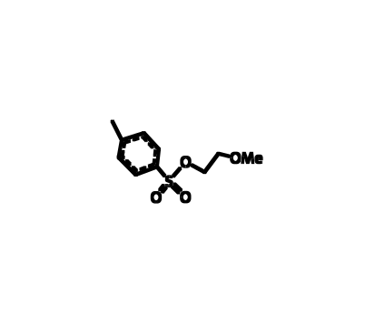 [CH2]OCCOS(=O)(=O)c1ccc(C)cc1